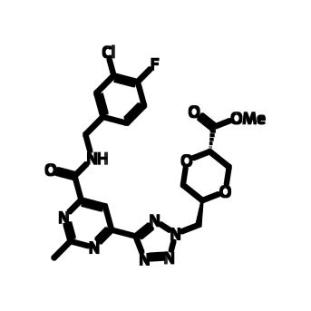 COC(=O)[C@@H]1CO[C@@H](Cn2nnc(-c3cc(C(=O)NCc4ccc(F)c(Cl)c4)nc(C)n3)n2)CO1